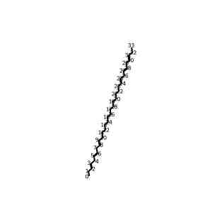 CCC=CCC=CCC=CCCCCCCCCCCCCCCC=CCC=CCC=CCC